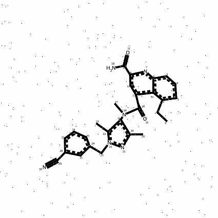 CCc1cccc2nc(C(N)=O)cc(C(=O)N(C)c3c(C)nn(Cc4cccc(C#N)c4)c3C)c12